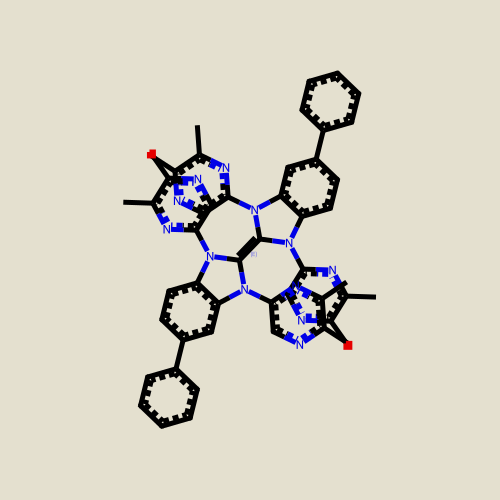 Cc1ncc(N2/C(=C3/N(c4cnc(C)c(C)n4)c4ccc(-c5ccccc5)cc4N3c3cnc(C)c(C)n3)N(c3cnc(C)c(C)n3)c3cc(-c4ccccc4)ccc32)nc1C